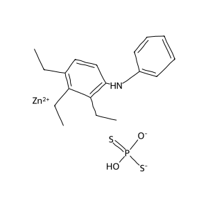 CCc1ccc(Nc2ccccc2)c(CC)c1CC.[O-]P(O)(=S)[S-].[Zn+2]